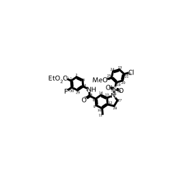 CCOC(=O)c1ccc(NC(=O)c2cc(C)c3c(c2)N(S(=O)(=O)c2cc(Cl)ccc2OC)CC3)cc1F